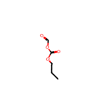 CCCOC(=O)OC=O